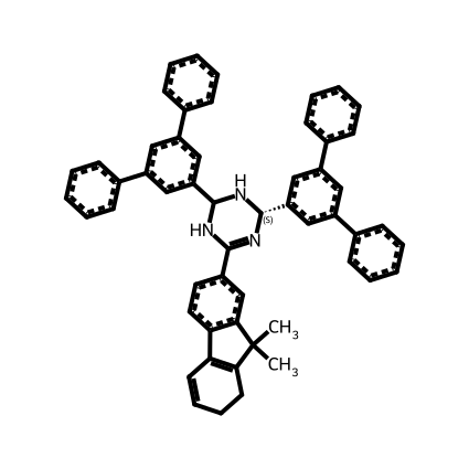 CC1(C)C2=C(C=CCC2)c2ccc(C3=N[C@@H](c4cc(-c5ccccc5)cc(-c5ccccc5)c4)NC(c4cc(-c5ccccc5)cc(-c5ccccc5)c4)N3)cc21